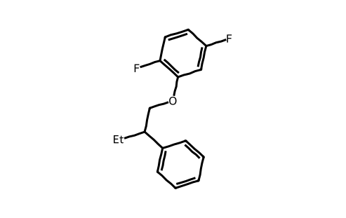 CCC(COc1cc(F)ccc1F)c1ccccc1